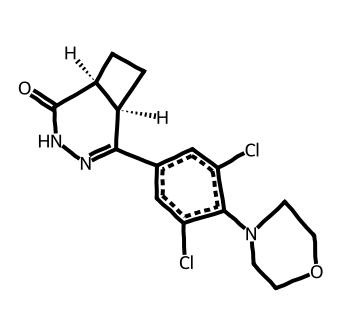 O=C1NN=C(c2cc(Cl)c(N3CCOCC3)c(Cl)c2)[C@@H]2CC[C@H]12